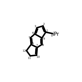 CC(C)C1=CC=c2cc3c(cc21)=CCC3